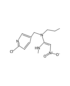 CCCN(Cc1ccc(Cl)nc1)C(=C[N+](=O)[O-])NC